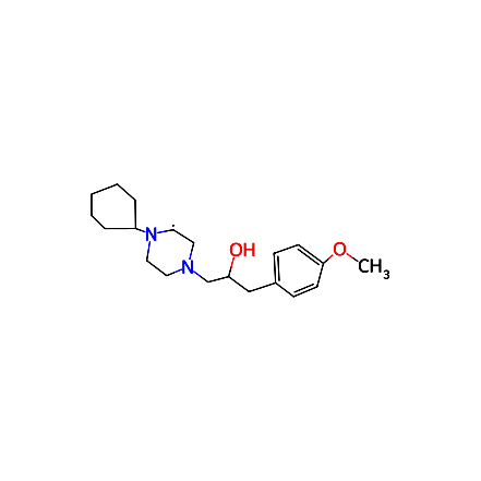 COc1ccc(CC(O)CN2C[CH]N(C3CCCCC3)CC2)cc1